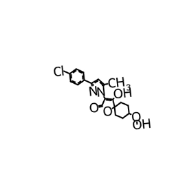 Cc1cc(-c2ccc(Cl)cc2)nn1C1=C(O)C2(CCC(OO)CC2)OC1=O